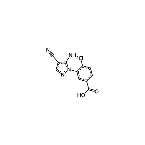 N#Cc1cnn(-c2cc(C(=O)O)ccc2Cl)c1N